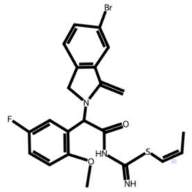 C=C1c2cc(Br)ccc2CN1C(C(=O)NC(=N)S/C=C\C)c1cc(F)ccc1OC